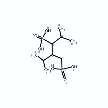 CC(C)C(CP(=O)(O)O)C(C(C)C)P(=O)(O)O